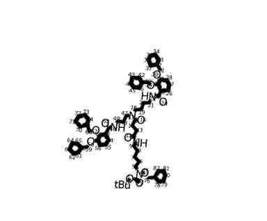 CC(C)(C)OC(=O)N(CCCCCNC(=O)CCC(=O)N(CCCCNC(=O)c1cccc(OCc2ccccc2)c1OCc1ccccc1)CCCNC(=O)c1cccc(OCc2ccccc2)c1OCc1ccccc1)OCc1ccccc1